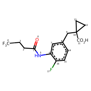 O=C(CCC(F)(F)F)Nc1cc(CC2(C(=O)O)CC2)ccc1F